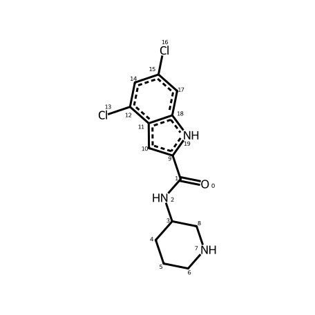 O=C(NC1CCCNC1)c1cc2c(Cl)cc(Cl)cc2[nH]1